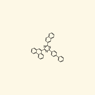 c1ccc(-c2ccc(-c3nc(-c4ccc5ccccc5c4)nc(-c4cc5ccccc5c5ccccc45)n3)cc2)cc1